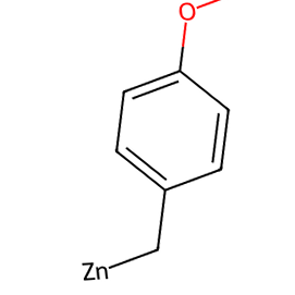 COc1ccc([CH2][Zn])cc1